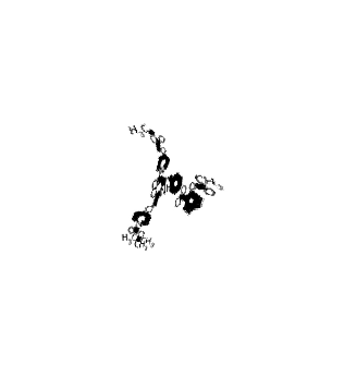 CCOC(=O)COC1CCN(C(=O)[C@H](Cc2ccc(OC(=O)c3ccccc3OC(C)=O)cc2)NC(=O)COC2CCN(C(=O)OC(C)(C)C)CC2)CC1